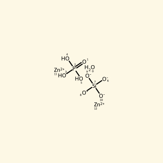 O.O=P(O)(O)O.[O-][Si]([O-])([O-])[O-].[Zn+2].[Zn+2]